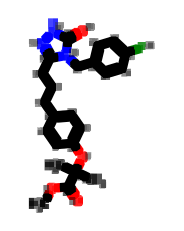 COC(=O)C(C)(C)Oc1ccc(CCCc2n[nH]c(=O)n2Cc2ccc(F)cc2)cc1